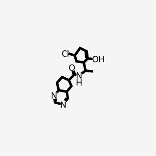 CC(NC(=O)C1CCC2N=CN=CC2C1)C1CC(Cl)CC=C1O